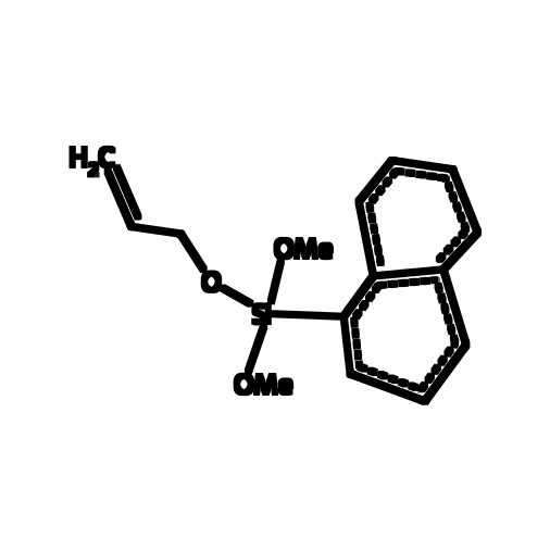 C=CCO[Si](OC)(OC)c1cccc2ccccc12